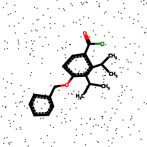 CC(C)c1c(OCc2ccccc2)ccc(C(=O)Cl)c1C(C)C